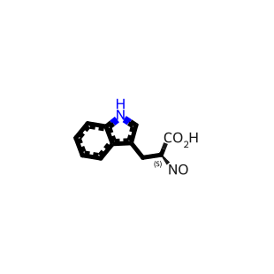 O=N[C@@H](Cc1c[nH]c2ccccc12)C(=O)O